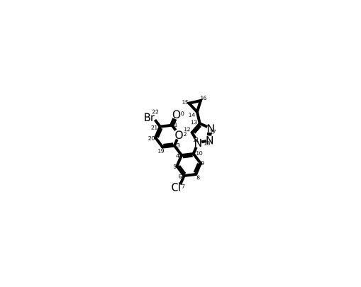 O=c1oc(-c2cc(Cl)ccc2-n2cc(C3CC3)nn2)ccc1Br